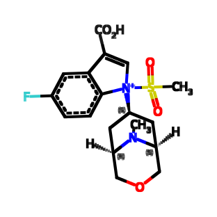 CN1[C@@H]2COC[C@H]1C[C@@H]([N+]1(S(C)(=O)=O)C=C(C(=O)O)c3cc(F)ccc31)C2